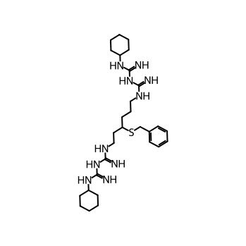 N=C(NCCCC(CCNC(=N)NC(=N)NC1CCCCC1)SCc1ccccc1)NC(=N)NC1CCCCC1